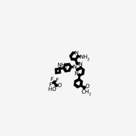 CC(=O)c1cccc(-c2ccc3nc(-c4cccnc4N)n(-c4ccc(C5(N)CCC5)cc4)c3n2)c1.O=C(O)C(F)(F)F